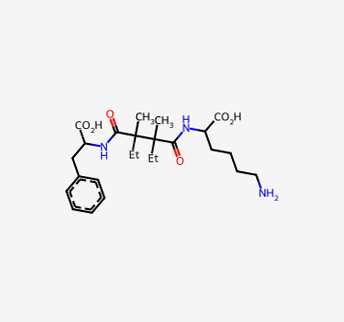 CCC(C)(C(=O)NC(CCCCN)C(=O)O)C(C)(CC)C(=O)NC(Cc1ccccc1)C(=O)O